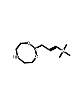 C[Si](C)(C)C=CCB1OCCNCCO1